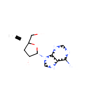 C#C[C@@]1(CO)C[C@@H](O)[C@H](n2cnc3c(N)ncnc32)O1